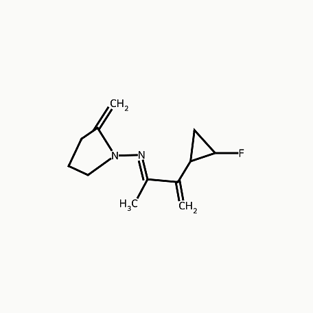 C=C(/C(C)=N/N1CCCC1=C)C1CC1F